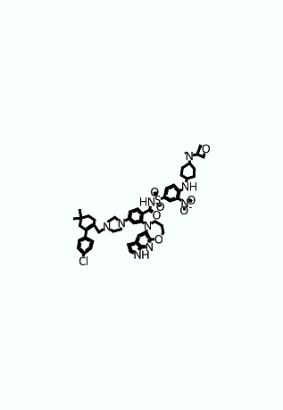 CN(C1CCC(Nc2ccc(S(=O)(=O)NC(=O)c3ccc(N4CCN(CC5=C(c6ccc(Cl)cc6)CC(C)(C)CC5)CC4)cc3N3CCCOc4nc5[nH]ccc5cc43)cc2[N+](=O)[O-])CC1)C1COC1